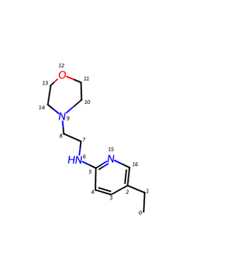 CCc1ccc(NCCN2CCOCC2)nc1